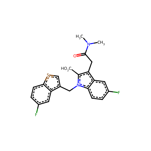 CN(C)C(=O)Cc1c(C(=O)O)n(Cc2csc3ccc(F)cc23)c2ccc(F)cc12